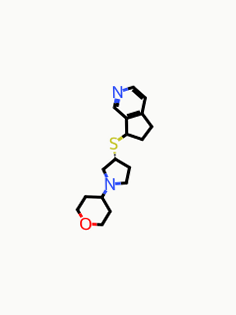 c1cc2c(cn1)C(S[C@@H]1CCN(C3CCOCC3)C1)CC2